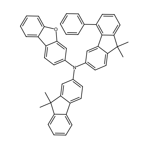 CC1(C)c2ccccc2-c2ccc(N(c3ccc4c(c3)-c3c(-c5ccccc5)cccc3C4(C)C)c3ccc4c(c3)oc3ccccc34)cc21